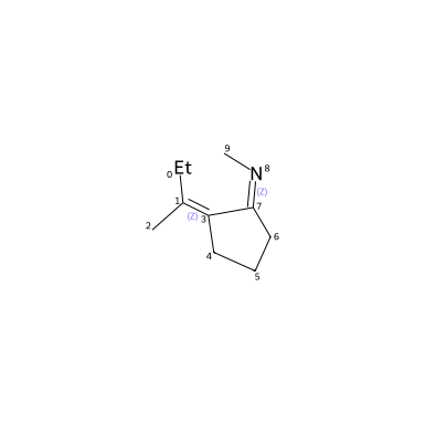 CC/C(C)=C1/CCC/C1=N/C